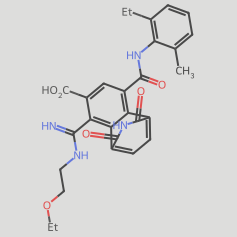 CCOCCNC(=N)c1c(C(=O)O)cc(C(=O)Nc2c(C)cccc2CC)c2c3ccc(c(=O)[nH]c3=O)c12